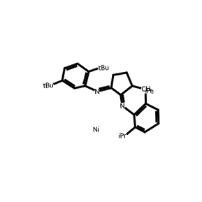 CC1CCC(=Nc2cc(C(C)(C)C)ccc2C(C)(C)C)C1=Nc1c(C(C)C)cccc1C(C)C.[Ni]